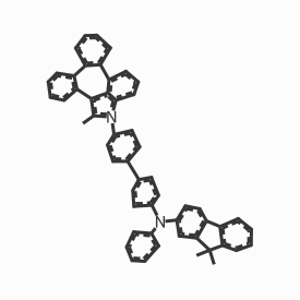 Cc1c2c3c(cccc3n1-c1ccc(-c3ccc(N(c4ccccc4)c4ccc5c(c4)C(C)(C)c4ccccc4-5)cc3)cc1)-c1ccccc1-c1ccccc1-2